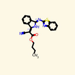 CCCCOC(=O)/C(C#N)=C1\N/C(=N\c2nc3ccccc3s2)c2ccccc21